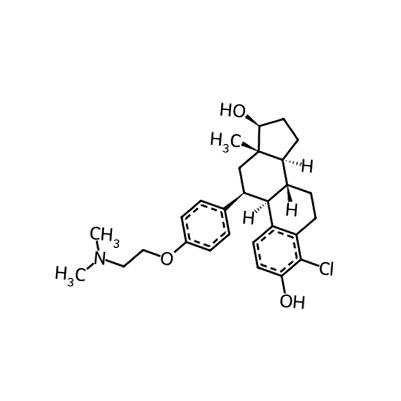 CN(C)CCOc1ccc([C@H]2C[C@]3(C)[C@@H](O)CC[C@H]3[C@@H]3CCc4c(ccc(O)c4Cl)[C@H]32)cc1